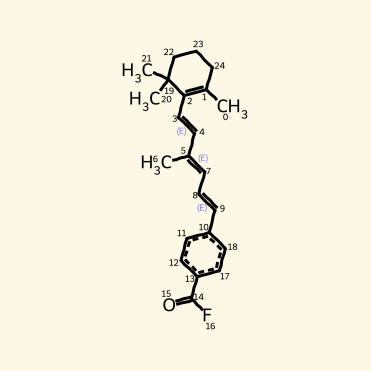 CC1=C(/C=C/C(C)=C/C=C/c2ccc(C(=O)F)cc2)C(C)(C)CCC1